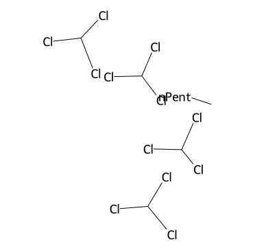 CCCCCC.ClC(Cl)Cl.ClC(Cl)Cl.ClC(Cl)Cl.ClC(Cl)Cl